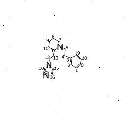 c1ccc(CCN2CCCCC2CCn2ccnc2)cc1